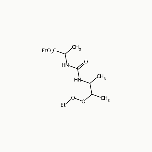 CCOOC(C)C(C)NC(=O)NC(C)C(=O)OCC